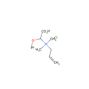 C=CC[N+](C)(C)C(OC(C)C)C(=O)O.[Cl-]